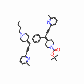 CCCCN1CCC(=CC#Cc2cccc(C)n2)CC1.Cc1cccc(C#CC(=C2CCN(C(=O)OC(C)(C)C)CC2)c2ccccc2)n1